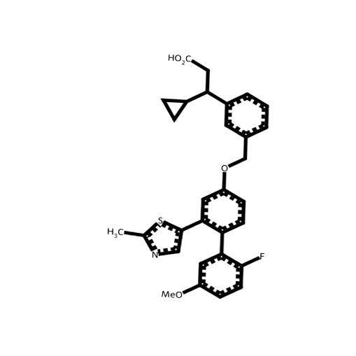 COc1ccc(F)c(-c2ccc(OCc3cccc(C(CC(=O)O)C4CC4)c3)cc2-c2cnc(C)s2)c1